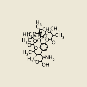 CC(C)C(C)C(=O)Oc1ccc(C(C(C)C(C)OC(=O)OC(C)(C)C)[C@H](N)C(=O)O)cc1OC(=O)C(C)C(C)C